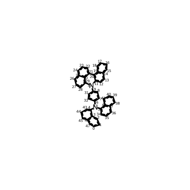 c1ccc2c(N(c3ccc(N4c5ccc6ccccc6c5-c5cccc6cccc4c56)cc3)c3cccc4ccccc34)cccc2c1